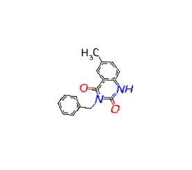 Cc1ccc2[nH]c(=O)n(Cc3ccccc3)c(=O)c2c1